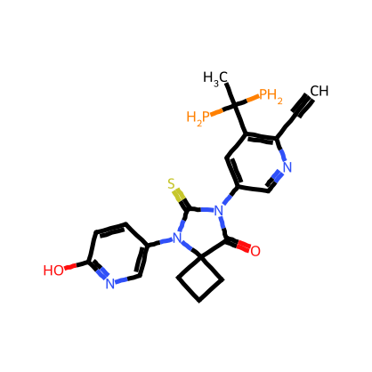 C#Cc1ncc(N2C(=O)C3(CCC3)N(c3ccc(O)nc3)C2=S)cc1C(C)(P)P